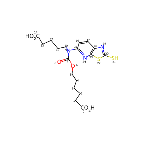 O=C(O)CCCCCOC(=O)N(CCCCC(=O)O)c1ccc2nc(S)sc2n1